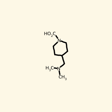 CN(C)CC1CCN(C(=O)O)CC1